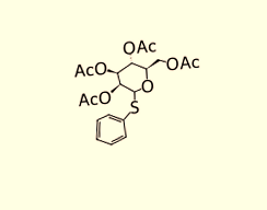 CC(=O)OC[C@H]1OC(Sc2ccccc2)[C@@H](OC(C)=O)[C@@H](OC(C)=O)[C@@H]1OC(C)=O